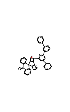 O=C1c2ccccc2C2(c3ccccc31)c1ccccc1-c1c(-c3cc(-c4ccccc4)cc(-c4cccc(-c5ccccc5)c4)n3)cccc12